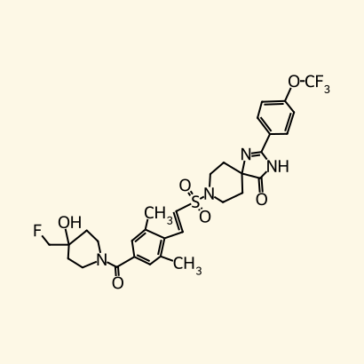 Cc1cc(C(=O)N2CCC(O)(CF)CC2)cc(C)c1C=CS(=O)(=O)N1CCC2(CC1)N=C(c1ccc(OC(F)(F)F)cc1)NC2=O